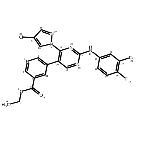 CCOC(=O)c1cncc(-c2cnc(Nc3ccc(F)c(Cl)c3)nc2-n2cc(Cl)cn2)c1